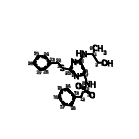 C[C@H](CO)Nc1cc(NS(=O)(=O)Cc2ccccc2)nc(SCc2ccccc2)n1